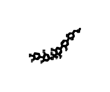 COCC1COC(c2ccc(-c3cc(F)c(C(F)(F)Oc4cc(F)c(-c5ccc(F)c(F)c5)c(F)c4)c(F)c3)c(F)c2)OC1